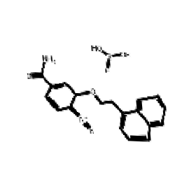 OB(O)F.[N-]=[N+]=C1C=CC(C(N)=O)=CC1OCCc1cccc2ccccc12